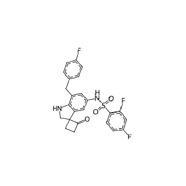 O=C1CCC12CNc1c(Cc3ccc(F)cc3)cc(NS(=O)(=O)c3ccc(F)cc3F)cc12